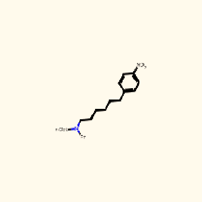 CCCCCCCCN(CC)CCCCCCc1ccc([N+](=O)[O-])cc1